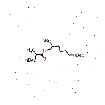 CCCCCCCCCCCCCCC(CCCC)COC(=O)C(C)CCCCCCCCCC